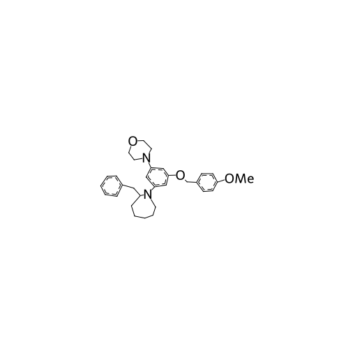 COc1ccc(COc2cc(N3CCOCC3)cc(N3CCCCCC3Cc3ccccc3)c2)cc1